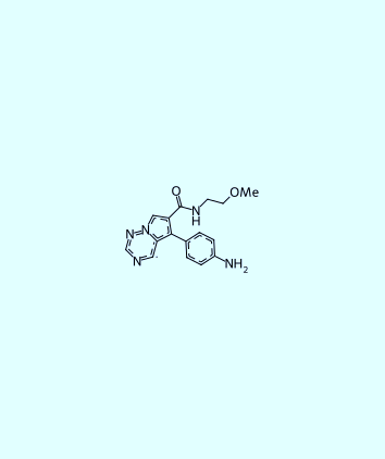 COCCNC(=O)c1cn2ncn[c]c2c1-c1ccc(N)cc1